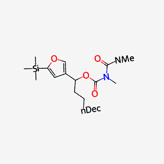 CCCCCCCCCCCCC(OC(=O)N(C)C(=O)NC)c1coc([Si](C)(C)C)c1